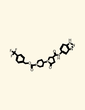 O=C(Nc1ccc2[nH]nnc2c1)C1CC(=O)N(C2CCN(C(=O)OCc3ccc(C(F)(F)F)cc3)CC2)C1